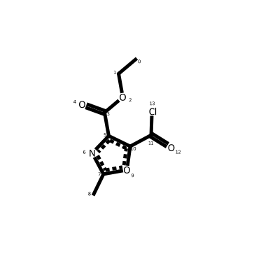 CCOC(=O)c1nc(C)oc1C(=O)Cl